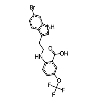 O=C(O)c1cc(OC(F)(F)F)ccc1NCCc1c[nH]c2cc(Br)ccc12